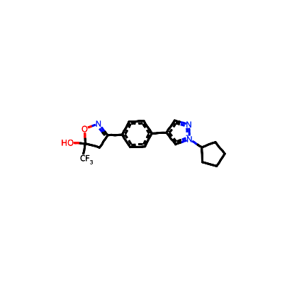 OC1(C(F)(F)F)CC(c2ccc(-c3cnn(C4CCCC4)c3)cc2)=NO1